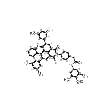 Cc1cc(OC(=O)Cc2ccc(-n3c(=O)c4cc(-c5cc(C(F)(F)F)cc(C(F)(F)F)c5)c5oc6ccccc6c6c(-c7cc(C(F)(F)F)cc(C(F)(F)F)c7)cc(c3=O)c4c56)cc2)cc(C)c1C=O